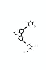 CC(C)Cn1c2ccc(C#C[C@H]3O[C@H](CO)[C@@H](O)[C@H](O)[C@@H]3O)cc2c2cc(C#C[C@H]3O[C@H](CO)[C@@H](O)[C@H](O)[C@@H]3O)ccc21